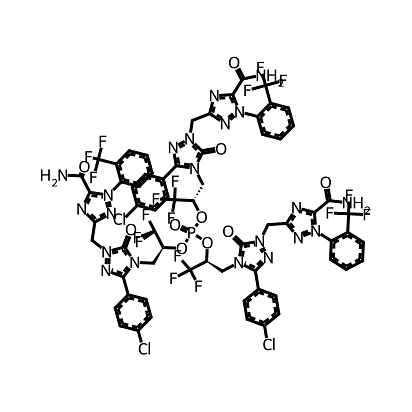 NC(=O)c1nc(Cn2nc(-c3ccc(Cl)cc3)n(C[C@H](OP(=O)(O[C@@H](Cn3c(-c4ccc(Cl)cc4)nn(Cc4nc(C(N)=O)n(-c5ccccc5C(F)(F)F)n4)c3=O)C(F)(F)F)O[C@@H](Cn3c(-c4ccc(Cl)cc4)nn(Cc4nc(C(N)=O)n(-c5ccccc5C(F)(F)F)n4)c3=O)C(F)(F)F)C(F)(F)F)c2=O)nn1-c1ccccc1C(F)(F)F